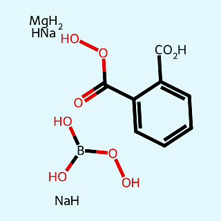 O=C(O)c1ccccc1C(=O)OO.OOB(O)O.[MgH2].[NaH].[NaH]